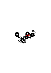 CCOc1ccc(Cc2cc([C@]34OC[C@](CC)(O3)C(=O)[C@H](OCc3ccccc3)[C@H]4OCc3ccccc3)ccc2Cl)cc1